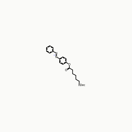 CCCCCCCCCCCCCCCC(=O)Oc1ccc(/N=N/c2ccccc2)cc1